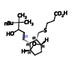 CCCCC(C)(C)C(O)/C=C/[C@@H]1[C@H](CSCCC(=O)O)[C@@H]2CC[C@H]1O2